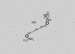 CC(N)c1cccc(OCCCCCOCCCOCCOc2ccc3c(c2)CN(C2CCC(=O)NC2=O)C3=O)c1.Cl